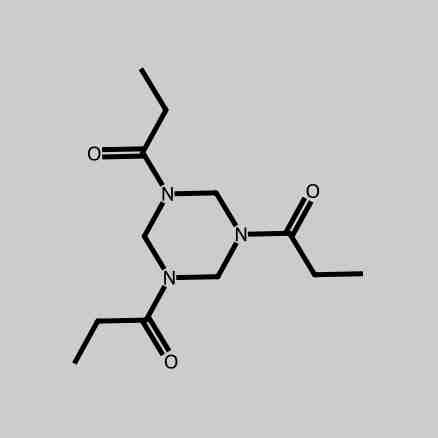 CCC(=O)N1CN(C(=O)CC)CN(C(=O)CC)C1